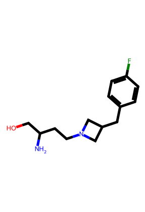 NC(CO)CCN1CC(Cc2ccc(F)cc2)C1